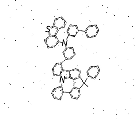 CC1(c2ccccc2)c2cccc3c2-c2c1ccc1c4c(-c5cccc(N(c6cccc(-c7ccccc7)c6)c6cccc7sc8ccccc8c67)c5)cccc4n(c21)-c1ccccc1-3